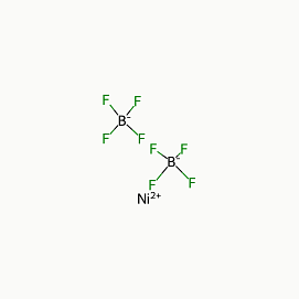 F[B-](F)(F)F.F[B-](F)(F)F.[Ni+2]